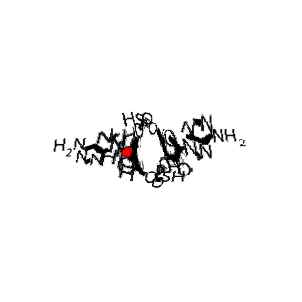 CO[C@H]1[C@H](n2cnc3c(N)ncnc32)O[C@]2(C)CO[P@](=O)(S)O[C@@H]3[C@H](O)[C@@H](CO[P@@](=O)(S)O[C@@H]12)O[C@H]3n1cnc2c(N)ncnc21